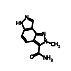 Cn1nc2c(ccc3[nH]ncc32)c1C(N)=O